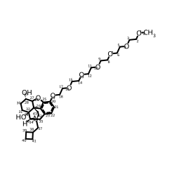 COCCOCCOCCOCCOCCOCCOc1ccc2c3c1OC1[C@@H](O)CC[C@@]4(O)[C@@H](C2)N(CC2CCC2)CC[C@]314